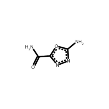 NC(=O)c1nnc(N)o1